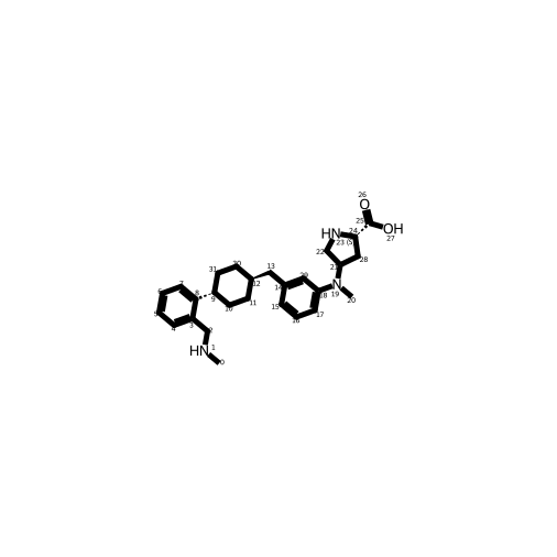 CNCc1ccccc1[C@H]1CC[C@H](Cc2cccc(N(C)C3CN[C@H](C(=O)O)C3)c2)CC1